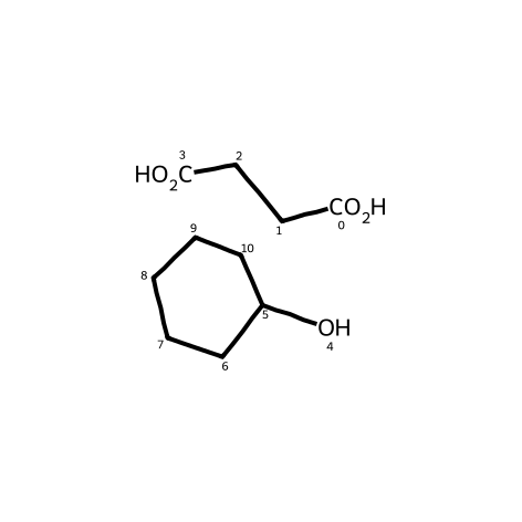 O=C(O)CCC(=O)O.OC1CCCCC1